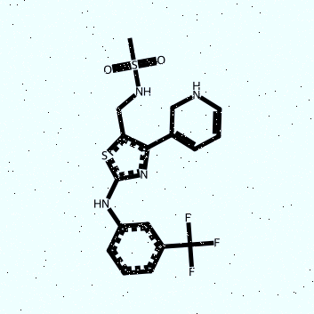 CS(=O)(=O)NCc1sc(Nc2cccc(C(F)(F)F)c2)nc1C1=CC=CNC1